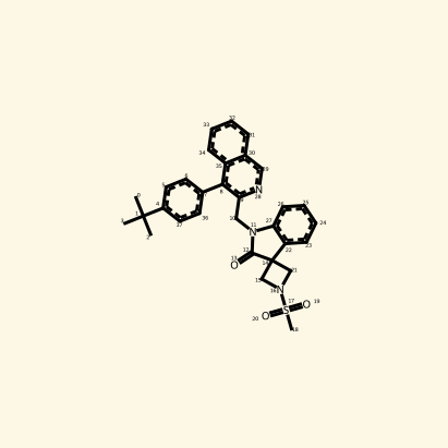 CC(C)(C)c1ccc(-c2c(CN3C(=O)C4(CN(S(C)(=O)=O)C4)c4ccccc43)ncc3ccccc23)cc1